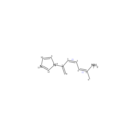 C=C(/C=C\C=C(\C)N)n1ccnc1